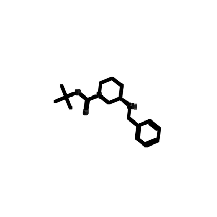 CC(C)(C)OC(=O)N1CCC[C@@H](NCc2ccccc2)C1